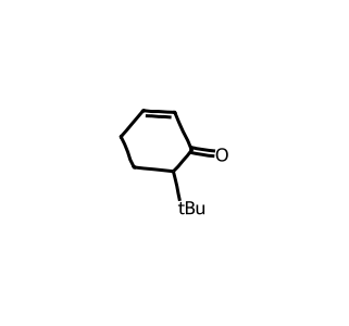 CC(C)(C)C1CCC=CC1=O